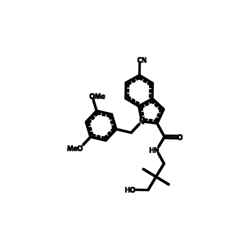 COc1cc(Cn2c(C(=O)NCC(C)(C)CO)cc3cc(C#N)ccc32)cc(OC)c1